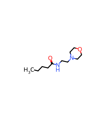 CCCCC(=O)NCCN1CCOCC1